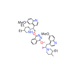 CCC1CN([C@@H](I)[C@H](COc2nnc(OC[C@H](c3ccnc4ccc(OC)cc34)[C@@H]3C[C@@H](CC)C(CC)CN3)c3ccccc23)c2ccnc3ccc(OC)cc23)CCC1C